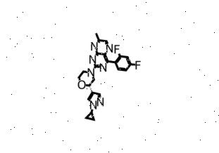 Cc1cnc2c(-c3ccc(F)cc3F)nc(N3CCO[C@@H](c4cnn(C5CC5)c4)C3)nc2n1